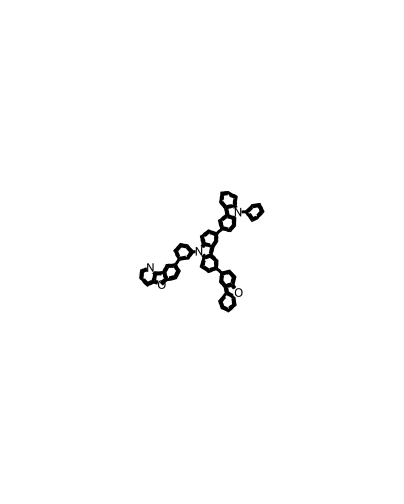 c1ccc(-n2c3ccccc3c3cc(-c4ccc5c(c4)c4cc(-c6ccc7oc8ccccc8c7c6)ccc4n5-c4cccc(-c5ccc6oc7cccnc7c6c5)c4)ccc32)cc1